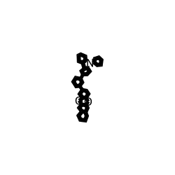 c1ccc(-n2c3ccccc3c3cc(-c4cccc(-c5ccc6c(c5)Oc5cc7ccccc7cc5O6)c4)ccc32)cc1